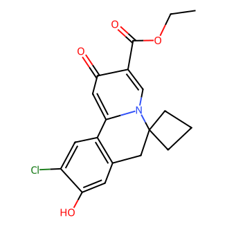 CCOC(=O)c1cn2c(cc1=O)-c1cc(Cl)c(O)cc1CC21CCC1